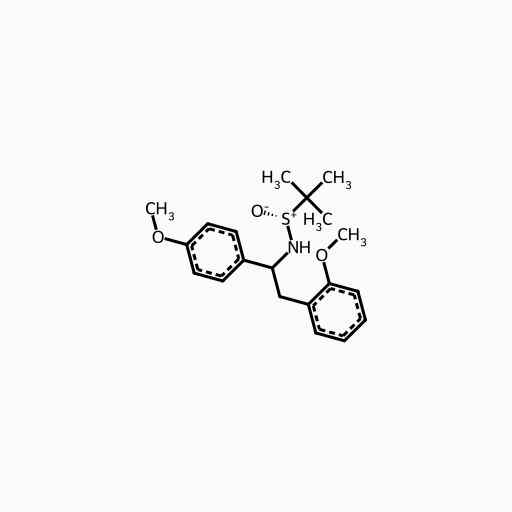 COc1ccc(C(Cc2ccccc2OC)N[S@+]([O-])C(C)(C)C)cc1